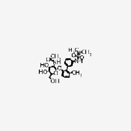 CC(=O)NC1C(O)[C@@H](O)C(CO)O[C@H]1Oc1cccc(C)c1-c1cccc(NS(=O)(=O)N(C)C)c1